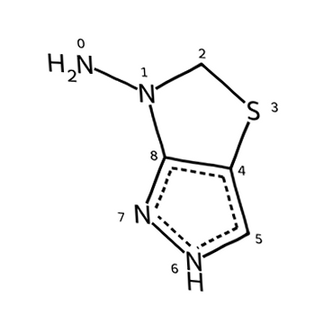 NN1CSc2c[nH]nc21